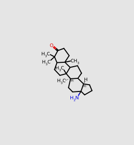 CC1(C)C(=O)CCC2(C)C1CCC1(C)C2CCC2[C@H]3CCCC3(N)CC[C@]21C